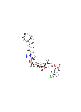 CC(CC(C)(C)Cl)CC(C)(C)OCCC(C)(C)NC(=O)C(C)(C)OCCC(C)(C)OC(=O)NCCCCCC1CCCCCCC1